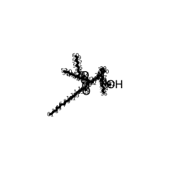 CCCCCCCCCCCCCCCCCC(=O)OCC(CCCCN(CCN(CCO)CCCC)C1CCC1)COC(=O)CC(CCCCCC)CCCCCCCC